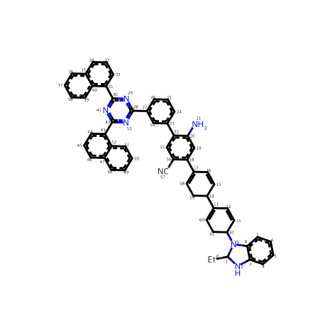 CCC1Nc2ccccc2N1C1C=CC(C2C=CC(c3cc(N)c(-c4cccc(-c5nc(-c6cccc7ccccc67)nc(-c6cccc7ccccc67)n5)c4)cc3C#N)=CC2)=CC1